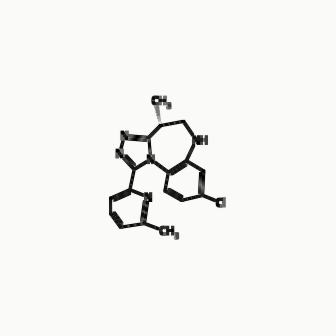 Cc1cccc(-c2nnc3n2-c2ccc(Cl)cc2NC[C@H]3C)n1